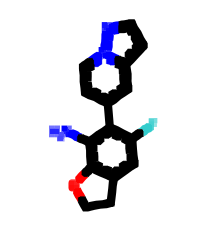 Nc1c2c(cc(F)c1-c1ccn3nccc3c1)CCO2